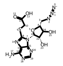 [N-]=[N+]=NC[C@H]1O[C@@H](n2c(SCC(=O)O)nc3c(N)ncnc32)[C@@H](O)C1O